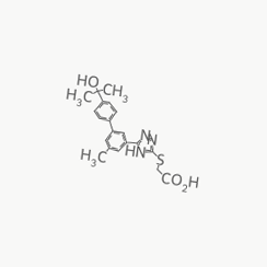 Cc1cc(-c2ccc(C(C)(C)O)cc2)cc(-c2nnc(SCC(=O)O)[nH]2)c1